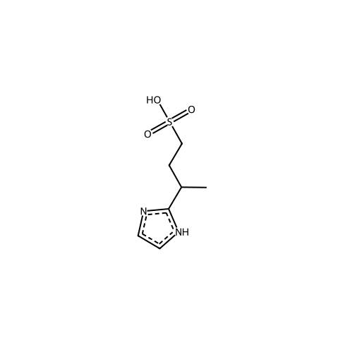 CC(CCS(=O)(=O)O)c1ncc[nH]1